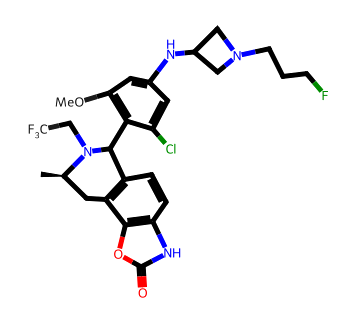 COc1cc(NC2CN(CCCF)C2)cc(Cl)c1C1c2ccc3[nH]c(=O)oc3c2C[C@@H](C)N1CC(F)(F)F